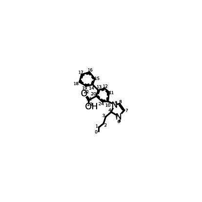 CCCCC1N(C)C=CN1c1ccc(-c2ccccc2)c(C(=O)O)c1